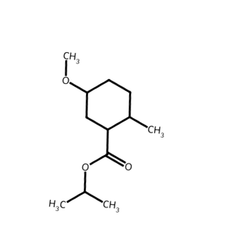 COC1CCC(C)C(C(=O)OC(C)C)C1